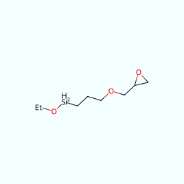 CCO[SiH2]CCCOCC1CO1